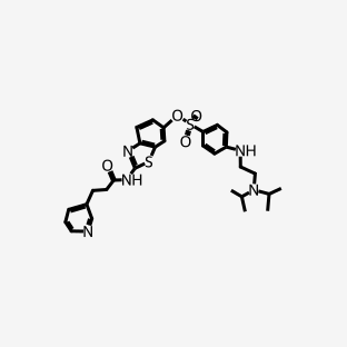 CC(C)N(CCNc1ccc(S(=O)(=O)Oc2ccc3nc(NC(=O)CCc4cccnc4)sc3c2)cc1)C(C)C